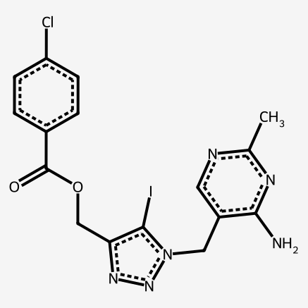 Cc1ncc(Cn2nnc(COC(=O)c3ccc(Cl)cc3)c2I)c(N)n1